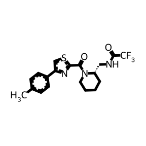 Cc1ccc(-c2csc(C(=O)N3CCCC[C@H]3CNC(=O)C(F)(F)F)n2)cc1